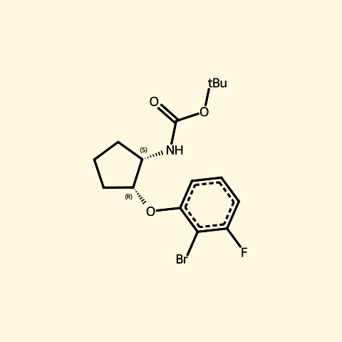 CC(C)(C)OC(=O)N[C@H]1CCC[C@H]1Oc1cccc(F)c1Br